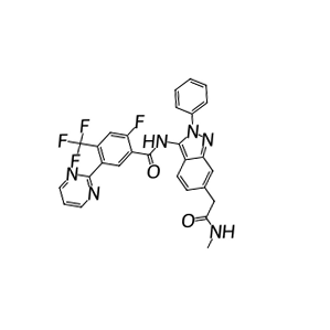 CNC(=O)Cc1ccc2c(NC(=O)c3cc(-c4ncccn4)c(C(F)(F)F)cc3F)n(-c3ccccc3)nc2c1